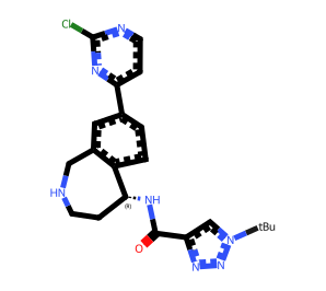 CC(C)(C)n1cc(C(=O)N[C@@H]2CCNCc3cc(-c4ccnc(Cl)n4)ccc32)nn1